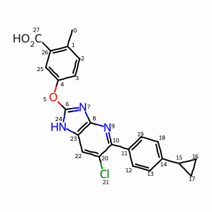 Cc1ccc(Oc2nc3nc(-c4ccc(C5CC5)cc4)c(Cl)cc3[nH]2)cc1C(=O)O